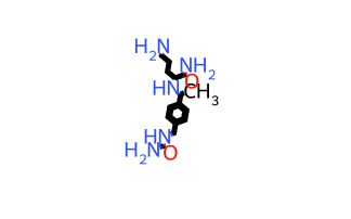 CC(NC(CCCN)C(N)=O)c1ccc(CNC(N)=O)cc1